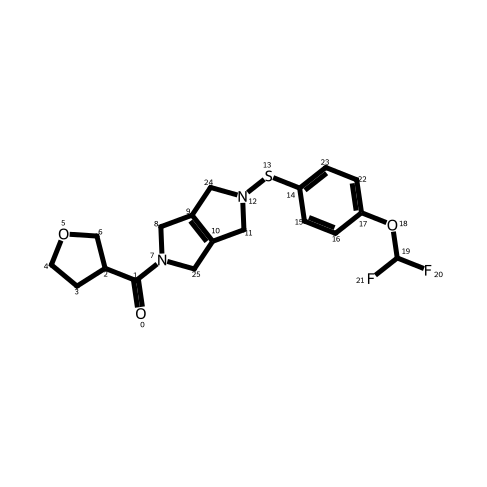 O=C(C1CCOC1)N1CC2=C(CN(Sc3ccc(OC(F)F)cc3)C2)C1